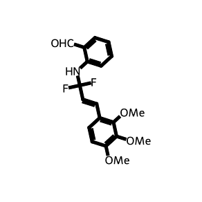 COc1ccc(/C=C/C(F)(F)Nc2ccccc2C=O)c(OC)c1OC